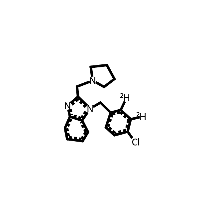 [2H]c1c(Cl)ccc(Cn2c(CN3CCCC3)nc3ccccc32)c1[2H]